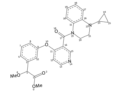 COC(=O)C(OC)c1cccc(Oc2ccncc2C(=O)N2CCN(C3CC3)c3ccccc32)c1